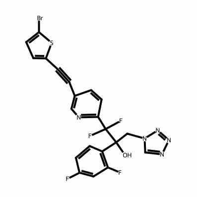 OC(Cn1cnnn1)(c1ccc(F)cc1F)C(F)(F)c1ccc(C#Cc2ccc(Br)s2)cn1